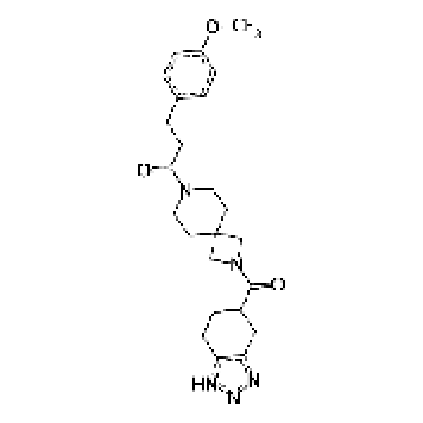 O=C(CCc1ccc(OC(F)(F)F)cc1)N1CCC2(CC1)CN(C(=O)C1CCc3[nH]nnc3C1)C2